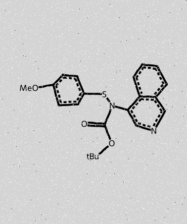 COc1ccc(SN(C(=O)OC(C)(C)C)c2cncc3ccccc23)cc1